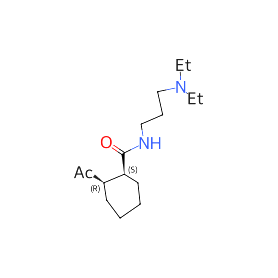 CCN(CC)CCCNC(=O)[C@H]1CCCC[C@H]1C(C)=O